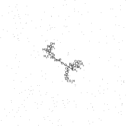 CC1=C(C)C(=O)C(C(C)(C)CC(=O)N(C)CCN(CCOCCOCCC(=O)NCCCNC(=O)CC[C@H](C)[C@@H]2CC[C@@H]3[C@@H]4[C@@H](CC[C@]32C)[C@]2(C)CC[C@H](O)C[C@@H]2C[C@@H]4O)C(=O)Oc2ccc3nc(C4=NC(C(=O)O)CS4)sc3c2)=C(C)C1=O